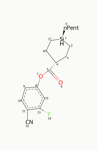 CCCCC[Si@H]1CC[C@H](C(=O)Oc2ccc(C#N)c(F)c2)CC1